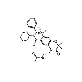 CCC(=O)NCCN1C(=O)C(C)(C)Oc2cc(C(F)(F)F)c(C(=O)N(Cc3ccccc3)C3CCCCC3)cc21